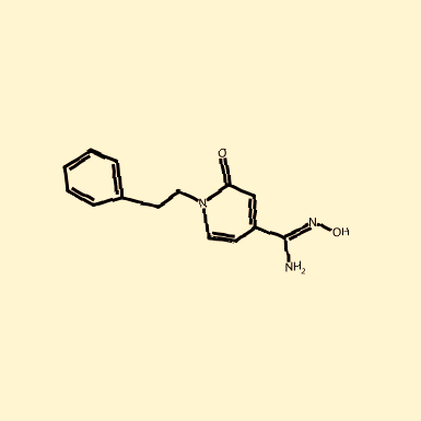 N/C(=N\O)c1ccn(CCc2ccccc2)c(=O)c1